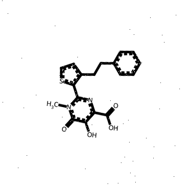 Cn1c(-c2sccc2CCc2ccccc2)nc(C(=O)O)c(O)c1=O